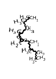 [CH2]c1cc(OCCC(C)CCC[C@H](C)CCC[C@H](C)CCCC(C)C)cc(OCCC(C)CCC[C@H](C)CCC[C@H](C)CCCC(C)C)c1